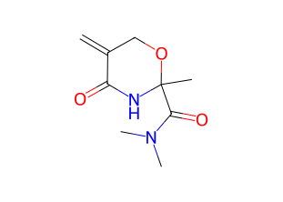 C=C1COC(C)(C(=O)N(C)C)NC1=O